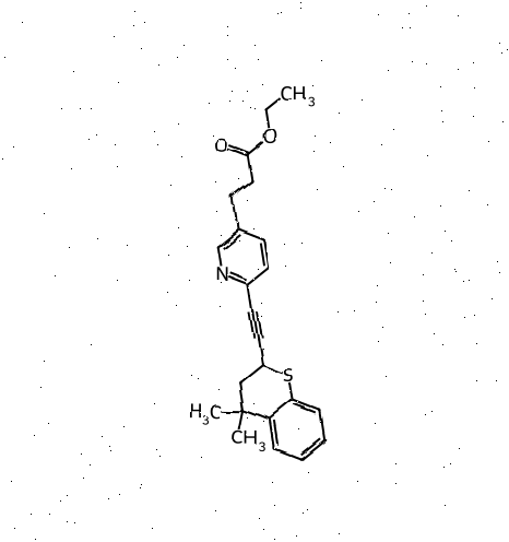 CCOC(=O)CCc1ccc(C#CC2CC(C)(C)c3ccccc3S2)nc1